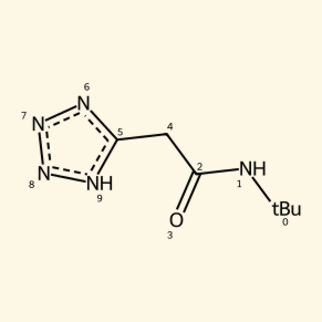 CC(C)(C)NC(=O)Cc1nnn[nH]1